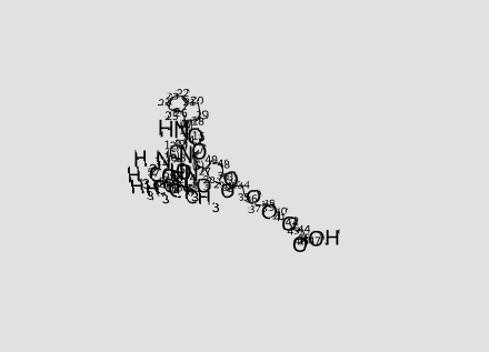 C[C@@H](C(=O)N[C@H](C(=O)N1C[C@@H](N)C[C@H]1C(=O)N[C@@H]1CCCc2ccccc21)C1CCC(OC(=O)CCOCCOCCOCCC(=O)O)CC1)N(C)C(=O)OC(C)(C)C